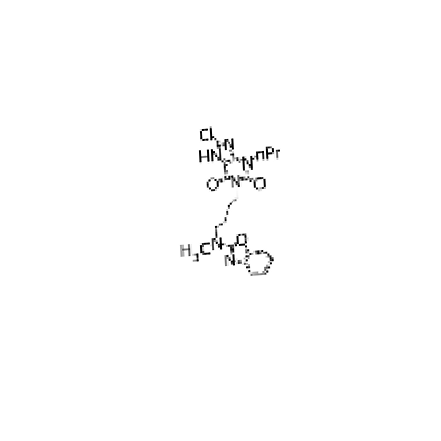 CCCn1c(=O)n(CCCCN(C)c2nc3ccccc3o2)c(=O)c2[nH]c(Cl)nc21